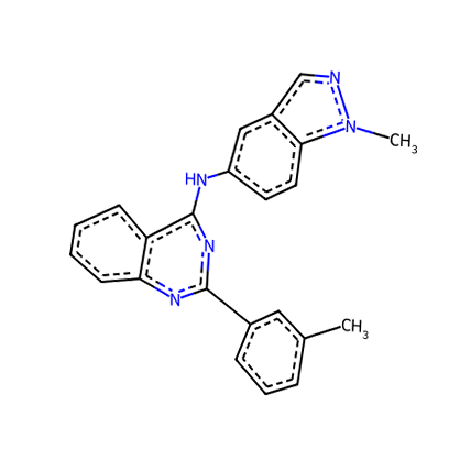 Cc1cccc(-c2nc(Nc3ccc4c(cnn4C)c3)c3ccccc3n2)c1